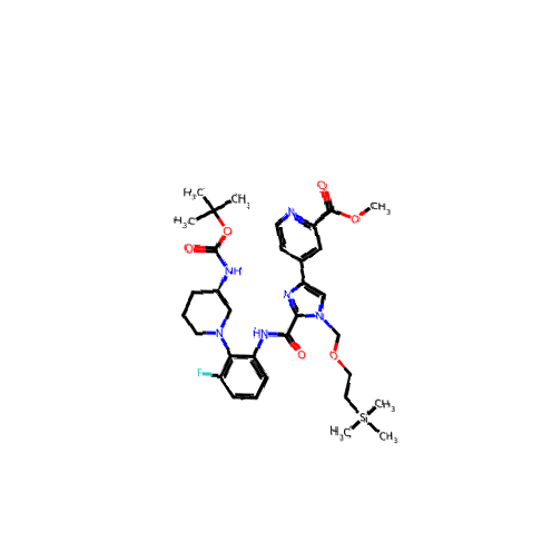 COC(=O)c1cc(-c2cn(COCC[Si](C)(C)C)c(C(=O)Nc3cccc(F)c3N3CCC[C@@H](NC(=O)OC(C)(C)C)C3)n2)ccn1